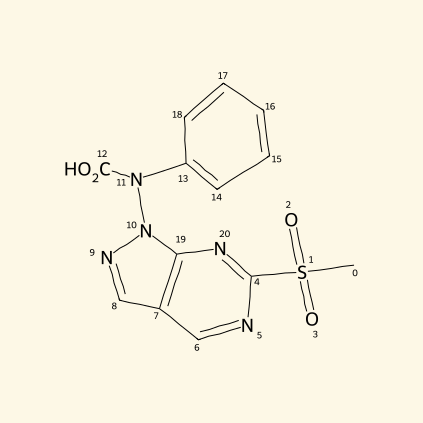 CS(=O)(=O)c1ncc2cnn(N(C(=O)O)c3ccccc3)c2n1